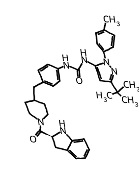 Cc1ccc(-n2nc(C(C)(C)C)cc2NC(=O)Nc2ccc(CC3CCN(C(=O)[C@@H]4Cc5ccccc5N4)CC3)cc2)cc1